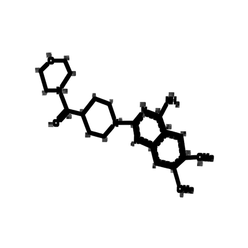 COc1cc2nc(N3CCC(C(=O)N4CCOCC4)CC3)nc(N)c2cc1OC